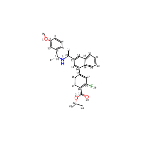 COc1cccc([C@@H](C)NC(C)c2cc(-c3ccc(C(=O)OC(C)C)c(F)c3)c3ccccc3c2)c1